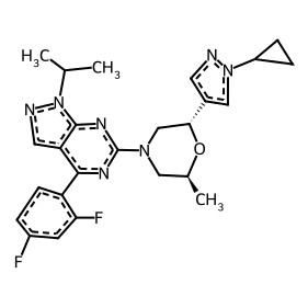 CC(C)n1ncc2c(-c3ccc(F)cc3F)nc(N3C[C@H](C)O[C@@H](c4cnn(C5CC5)c4)C3)nc21